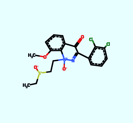 CC[S+]([O-])CC[N+]1([O-])N=C(c2cccc(Cl)c2Cl)C(=O)c2cccc(OC)c21